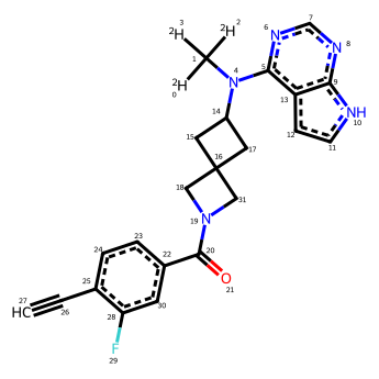 [2H]C([2H])([2H])N(c1ncnc2[nH]ccc12)C1CC2(C1)CN(C(=O)c1ccc(C#C)c(F)c1)C2